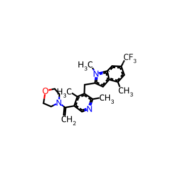 C=C(c1cnc(C)c(Cc2cc3c(C)cc(C(F)(F)F)cc3n2C)c1C)N1CCOCC1